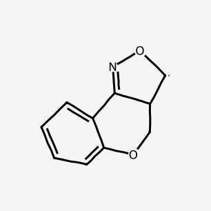 [CH]1ON=C2c3ccccc3OCC12